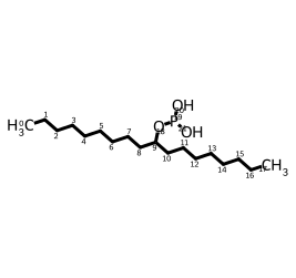 CCCCCCCCCC(CCCCCCCC)OP(O)O